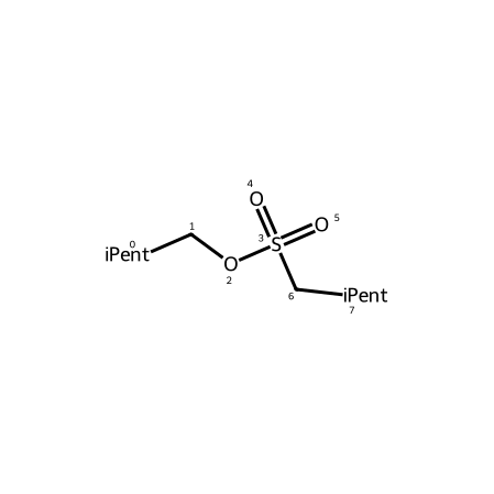 CCCC(C)COS(=O)(=O)CC(C)CCC